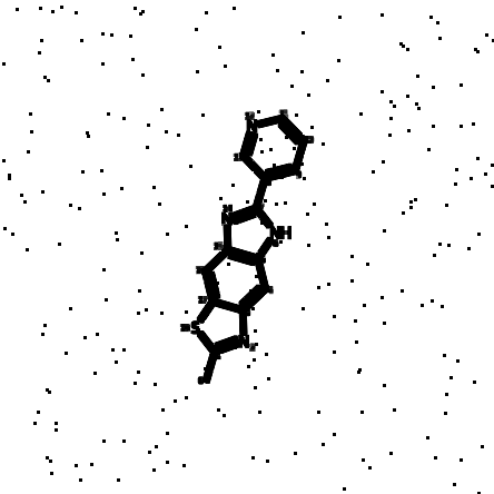 Cc1nc2cc3[nH]c(-c4cccnc4)nc3cc2s1